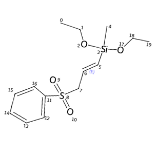 CCO[Si](C)(/C=C/CS(=O)(=O)c1ccccc1)OCC